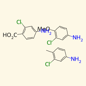 COc1ccc(N)cc1Cl.Cc1ccc(N)cc1Cl.Nc1ccc(C(=O)O)c(Cl)c1